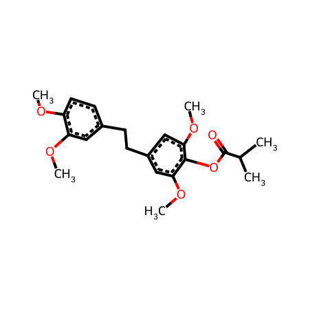 COc1ccc(CCc2cc(OC)c(OC(=O)C(C)C)c(OC)c2)cc1OC